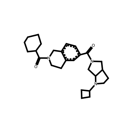 O=C(c1ccc2c(c1)CCN(C(=O)C1CCCCC1)C2)N1CC2CCN(C3CCC3)C2C1